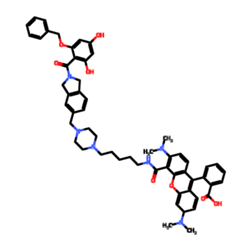 CN(C)c1ccc2c(c1C(=O)NCCCCCN1CCN(Cc3ccc4c(c3)CN(C(=O)c3c(O)cc(O)cc3OCc3ccccc3)C4)CC1)OC1=CC(N(C)C)C=CC1=C2c1ccccc1C(=O)O